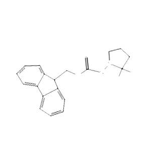 CC1(C(=O)O)CCCN1NC(=O)OCC1c2ccccc2-c2ccccc21